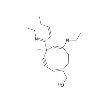 C/C=N/C1=C/C(C)(C(/C=C\CC)=N/CC)C#C/C=C(/CO)CC1